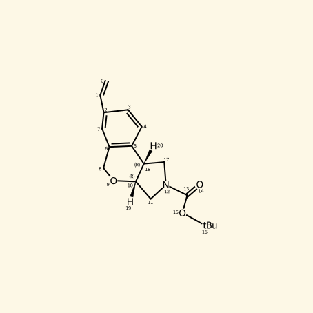 C=Cc1ccc2c(c1)CO[C@H]1CN(C(=O)OC(C)(C)C)C[C@@H]21